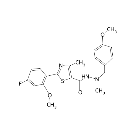 COc1ccc(CN(C)NC(=O)c2sc(-c3ccc(F)cc3OC)nc2C)cc1